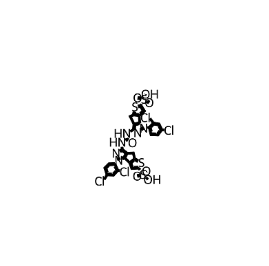 O=C(Nc1nn(-c2ccc(Cl)cc2Cl)c2c1Cc1sc(S(=O)(=O)O)cc1-2)Nc1nn(-c2ccc(Cl)cc2Cl)c2c1Cc1sc(S(=O)(=O)O)cc1-2